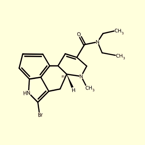 CCN(CC)C(=O)C1=CC2c3cccc4[nH]c(Br)c(c34)C[C@H]2N(C)C1